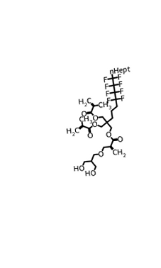 C=C(C)C(=O)OCC(CCCC(F)(F)C(F)(F)C(F)(F)C(F)(F)CCCCCCC)(COC(=O)C(=C)C)COC(=O)C(=C)COCC(CO)CO